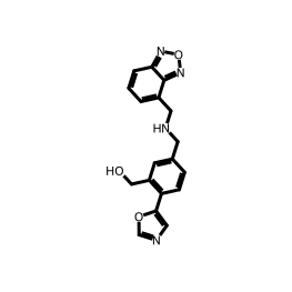 OCc1cc(CNCc2cccc3nonc23)ccc1-c1cnco1